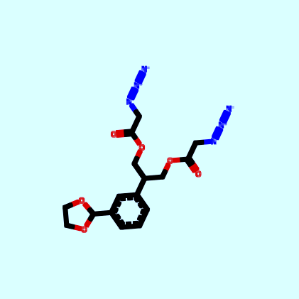 [N-]=[N+]=NCC(=O)OCC(COC(=O)CN=[N+]=[N-])c1cccc(C2OCCO2)c1